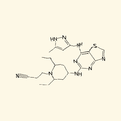 CCC1CC(Nc2nc(Nc3cc(C)[nH]n3)c3scnc3n2)CC(CC)N1CCC#N